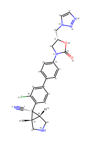 N#C[C@]1(c2ccc(-c3ccc(N4C[C@H](Cn5ccnn5)OC4=O)cc3)cc2F)[C@@H]2CNC[C@@H]21